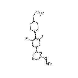 CCCOc1cncc(-c2cc(F)c(N3CCC(CC(=O)O)CC3)c(F)c2)n1